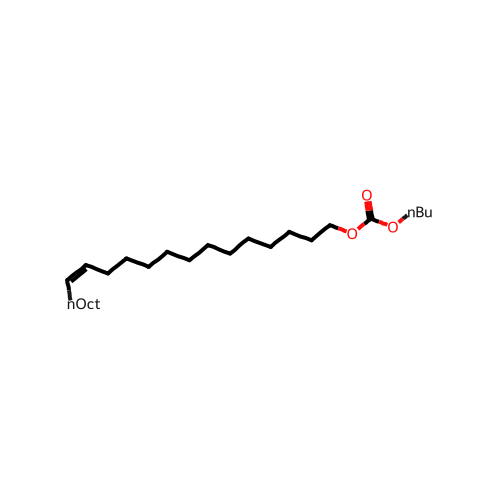 CCCCCCCC/C=C\CCCCCCCCCCCCOC(=O)OCCCC